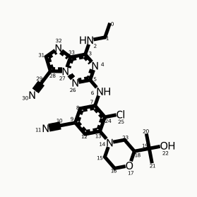 CCNc1nc(Nc2cc(C#N)cc(N3CCOC(C(C)(C)O)C3)c2Cl)nn2c(C#N)cnc12